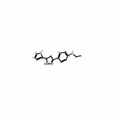 CCOc1ccc(C2=NNC(c3cccs3)C2)cc1